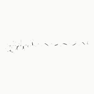 CCC=CCC=CCC=CCC=CCC=CCCCC(=O)OCC(=O)NC(=O)[C@H](CC)N1CCCC1=O